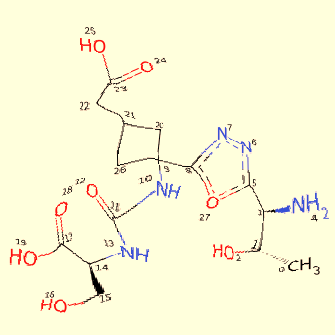 C[C@H](O)[C@H](N)c1nnc(C2(NC(=O)N[C@@H](CO)C(=O)O)CC(CC(=O)O)C2)o1